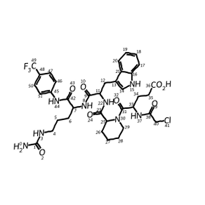 NC(=O)NCCCC(NC(=O)C(Cc1c[nH]c2ccccc12)NC(=O)C1CCCCN1C(=O)C(CCC(=O)O)NC(=O)CCl)C(=O)Nc1ccc(C(F)(F)F)cc1